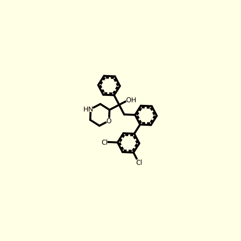 OC(Cc1ccccc1-c1cc(Cl)cc(Cl)c1)(c1ccccc1)C1CNCCO1